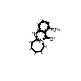 O=c1c2c(O)cccc2nc2n1CCCCC2